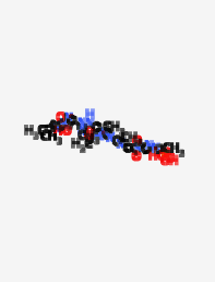 C=CC(=O)Nc1cc(Nc2nc(-c3ccnc(N4CCn5c(cc6c5CC(C)(C)C6)C4=O)c3CO)cn(C)c2=O)ccc1N1CCN(C2CCN(c3ccc4c(c3)C(=O)N(c3ccc(N5CCC(C)(OP(=O)(O)O)CC5)nc3)C4=O)[C@@H](C)C2)C[C@@H]1C